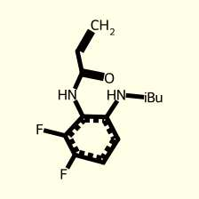 C=CC(=O)Nc1c(NC(C)CC)ccc(F)c1F